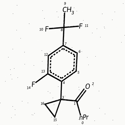 CCCC(=O)C1(c2ccc(C(C)(F)F)cc2F)CC1